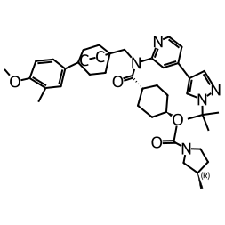 COc1ccc(C23CCC(CN(c4cc(-c5cnn(C(C)(C)C)c5)ccn4)C(=O)[C@H]4CC[C@H](OC(=O)N5CC[C@@H](C)C5)CC4)(CC2)CC3)cc1C